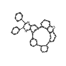 c1ccc(-c2nc3cc4cc(c5cccc(c5)c5ccccc5c5ccc6oc7cccc4c7c6c5)c3nc2-c2ccccc2)cc1